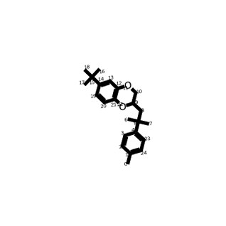 Cc1ccc(C(C)(C)CC2COc3cc(C(C)(C)C)ccc3O2)cc1